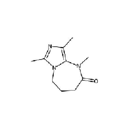 Cc1nc(C)n2c1N(C)C(=O)CCC2